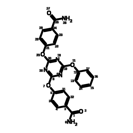 NC(=O)c1ccc(Oc2nc(Oc3ccccc3)nc(Oc3ccc(C(N)=O)cc3)n2)cc1